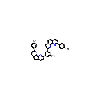 N#Cc1ccc(-c2ccc3ccc4ccc(-c5cc(C#N)cc(-c6ccc7ccc8ccc(-c9ccc(C#N)cc9)nc8c7n6)c5)nc4c3n2)cc1